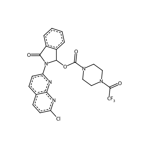 O=C(OC1c2ccccc2C(=O)N1c1ccc2ccc(Cl)nc2n1)N1CCN(C(=O)C(F)(F)F)CC1